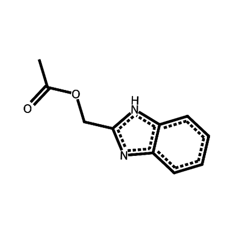 CC(=O)OCc1nc2ccccc2[nH]1